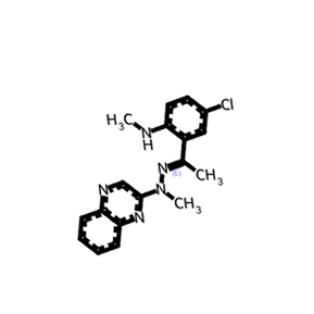 CNc1ccc(Cl)cc1/C(C)=N/N(C)c1cnc2ccccc2n1